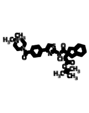 CN(C(=O)C1(CC(=O)OC(C)(C)C)Cc2ccccc2C1)c1nc(-c2ccc(C(=O)N3CC[N+](C)(C)CC3)cc2)cs1